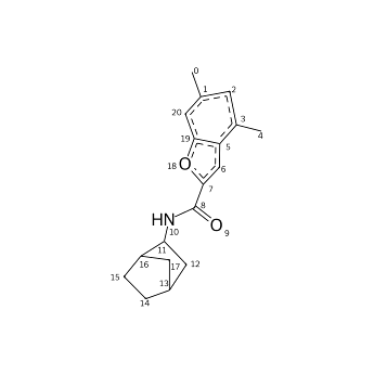 Cc1cc(C)c2cc(C(=O)NC3CC4CCC3C4)oc2c1